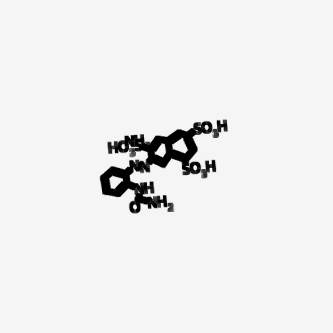 N.NC(=O)Nc1ccccc1N=Nc1cc2c(S(=O)(=O)O)cc(S(=O)(=O)O)cc2cc1S(=O)(=O)O